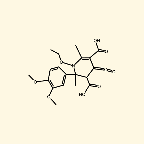 CCON1C(C)=C(C(=O)O)C(=C=O)C(C(=O)O)C1(C)c1ccc(OC)c(OC)c1